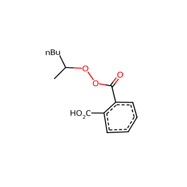 CCCCC(C)OOC(=O)c1ccccc1C(=O)O